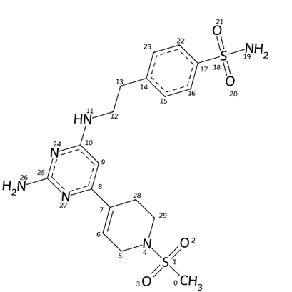 CS(=O)(=O)N1CC=C(c2cc(NCCc3ccc(S(N)(=O)=O)cc3)nc(N)n2)CC1